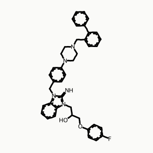 N=c1n(Cc2ccc(N3CCN(Cc4ccccc4-c4ccccc4)CC3)cc2)c2ccccc2n1CC(O)COc1ccc(F)cc1